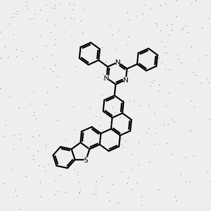 c1ccc(-c2nc(-c3ccccc3)nc(-c3ccc4c(ccc5ccc6c(ccc7c8ccccc8sc76)c54)c3)n2)cc1